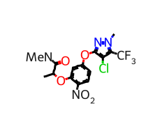 CNC(=O)C(C)Oc1cc(Oc2nn(C)c(C(F)(F)F)c2Cl)ccc1[N+](=O)[O-]